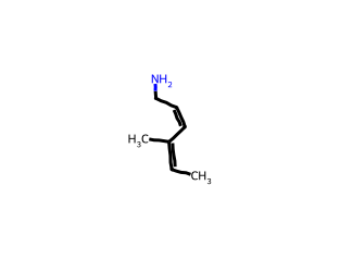 C/C=C(C)\C=C/CN